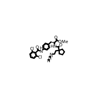 COC(=O)[C@H](Cc1ccc(NC(=O)c2c(Cl)cccc2Cl)cc1)NC(=O)C1(CCN=[N+]=[N-])CCCC1